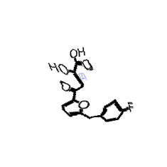 O=C(O)/C(O)=C/C(=O)c1ccc(Cc2ccc(F)cc2)o1